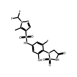 Cc1c(S(=O)(=O)Nc2cc(O)c(N3CC(=O)NS3(=O)=O)c(F)c2)cnn1C(F)F